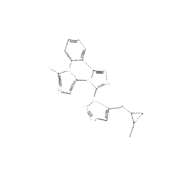 CC1CC1Cc1cnnn1-c1nnc2c3ccccc3n3c(F)ncc3n12